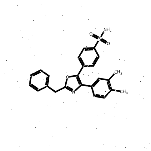 Cc1ccc(-c2nc(Cc3ccccc3)oc2-c2ccc(S(N)(=O)=O)cc2)cc1C